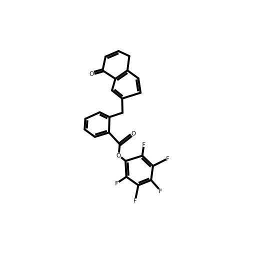 O=C1C=CCc2ccc(Cc3ccccc3C(=O)Oc3c(F)c(F)c(F)c(F)c3F)cc21